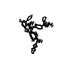 NC(=O)C1CCC(n2c(Nc3c(Cl)cc(F)cc3Cl)nc3cnc(NC4CC5(COC5)C4)nc32)CC1